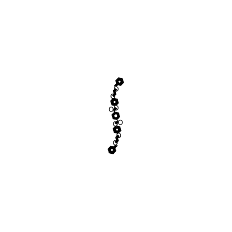 O=C(Oc1ccc(OCCOCc2ccccc2)cc1)[C@H]1CC[C@H](C(=O)Oc2ccc(OCCOCc3ccccc3)cc2)CC1